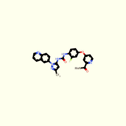 CNC(=O)c1cc(Oc2ccc(NC(=O)Nc3cc(C(F)(F)F)nn3-c3ccc4ncccc4c3)c(F)c2)ccn1